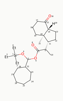 CC[Si](CC)(CC)OC(OC(=O)C(C)[C@H]1CC[C@H]2C(=O)CCC[C@]12C)C1CCCCCC1